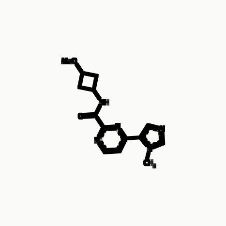 COC1CC(NC(=O)c2nccc(-c3cncn3C)n2)C1